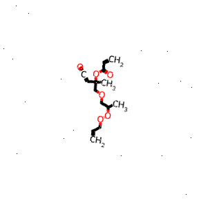 C=CCOOC(C)COCC(C)(C=C=O)OC(=O)C=C